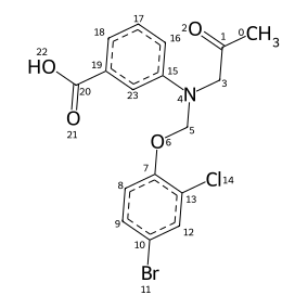 CC(=O)CN(COc1ccc(Br)cc1Cl)c1cccc(C(=O)O)c1